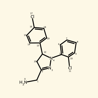 NCC1=NN(c2ccccc2Cl)C(c2ccc(Cl)cc2)C1